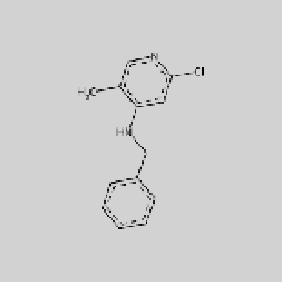 Cc1cnc(Cl)cc1NCc1ccccc1